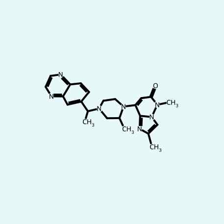 Cc1cn2c(n1)c(N1CCN(C(C)c3ccc4nccnc4c3)CC1C)cc(=O)n2C